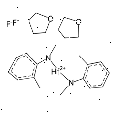 C1CCOC1.C1CCOC1.Cc1ccccc1[N](C)[Hf+2][N](C)c1ccccc1C.[F-].[F-]